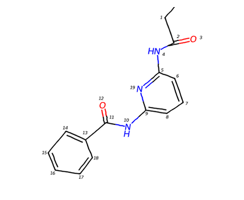 CCC(=O)Nc1cccc(NC(=O)c2ccccc2)n1